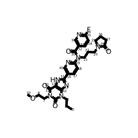 CCCn1c(=O)n(CCOC)c(=O)c2[nH]c(-c3ccc(N(CCCN4CCCC4=O)C(=O)c4ccc(F)nc4)nc3)nc21